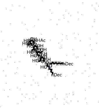 CCCCCCCCCCCCC/C=C/[C@@H](O)[C@H](CO[C@@H]1OC(CO)[C@@H](O[C@@H]2OC(CO)[C@H](O[C@@H]3OC(CO)[C@H](O)[C@H](O[C@@H]4OC(CO)[C@@H](O)[C@H](O)C4NC(C)=O)C3O)[C@H](O)C2O)[C@H](O)C1O)NC(=O)CCCCCCCCCCCCCCCCC